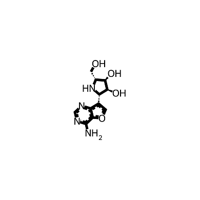 Nc1ncnc2c([C@@H]3N[C@H](CO)[C@@H](O)[C@H]3O)coc12